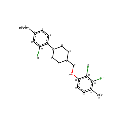 CCCCCc1ccc(C2CCC(COc3ccc(CCC)c(F)c3F)CC2)c(F)c1